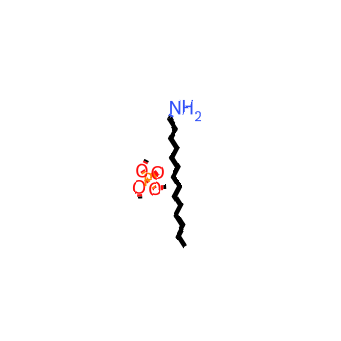 CCCCCCCCCCCCCCN.COP(=O)(OC)OC